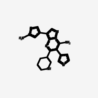 Cn1cc(-c2cnn3c(N)c(-c4ccoc4)c(C4CCCNC4)nc23)cn1